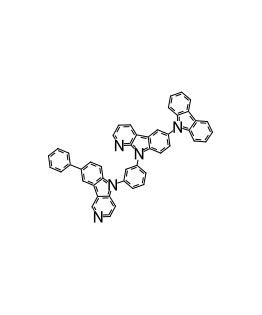 c1ccc(-c2ccc3c(c2)c2cnccc2n3-c2cccc(-n3c4ccc(-n5c6ccccc6c6ccccc65)cc4c4cccnc43)c2)cc1